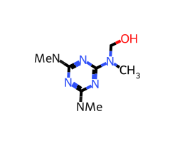 CNc1nc(NC)nc(N(C)CO)n1